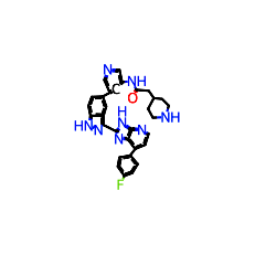 O=C(CC1CCNCC1)Nc1cncc(-c2ccc3[nH]nc(-c4nc5c(-c6ccc(F)cc6)ccnc5[nH]4)c3c2)c1